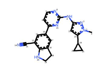 Cn1nc(Nc2nccc(-c3cc(C#N)c4c(c3)CCN4)n2)cc1C1CC1